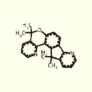 CC1(C)Oc2ccc3c(c2-c2ncccc21)C(C)(C)c1cccnc1-3